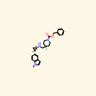 Cn1ccc2cc([C@@H]3C[C@H]3NCC3(F)CCN(C(=O)OCc4ccccc4)CC3)ccc21